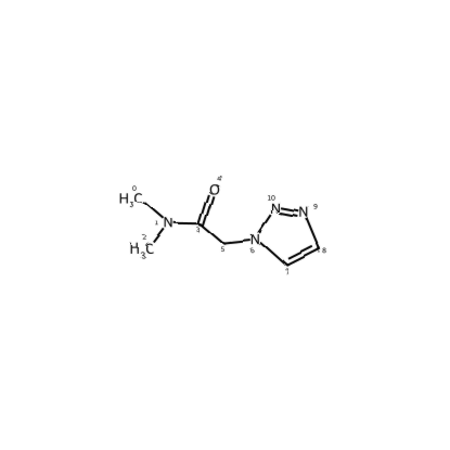 CN(C)C(=O)Cn1c[c]nn1